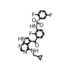 O=C(c1cccc(NS(=O)(=O)c2cc(F)ccc2F)c1F)c1c[nH]c2ncnc(NCC3CC3)c12